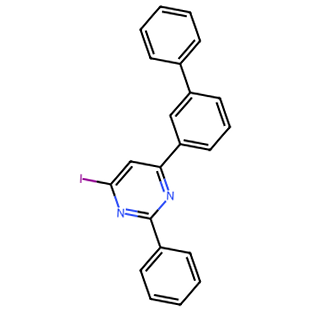 Ic1cc(-c2cccc(-c3ccccc3)c2)nc(-c2ccccc2)n1